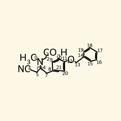 CN(CC(=O)O)[C@H](CC#N)Cc1ccc(OCc2ccccc2)cc1